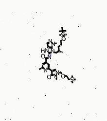 Cc1cc(C(=O)/N=c2\[nH]c3cnn(C)c3n2C[C@H](C)CCCO[Si](C)(C)C(C)(C)C)cc(-c2cn(COCC[Si](C)(C)C)n(C)c2=O)n1